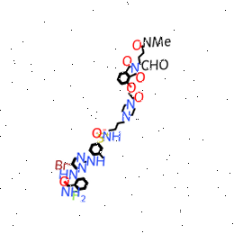 CNC(=O)CCC(C=O)N1C(=O)c2cccc(OCC(=O)N3CCN(CCCCN[S+]([O-])c4ccc(Nc5ncc(Br)c(Nc6cccc(F)c6C(N)=O)n5)c(C)c4)CC3)c2C1=O